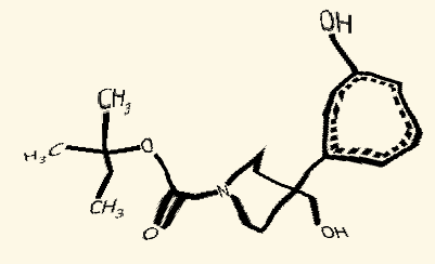 CC(C)(C)OC(=O)N1CC(O)(c2cccc(O)c2)C1